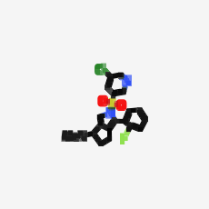 CNC1CCc2c1cn(S(=O)(=O)c1cncc(Cl)c1)c2-c1ccccc1F